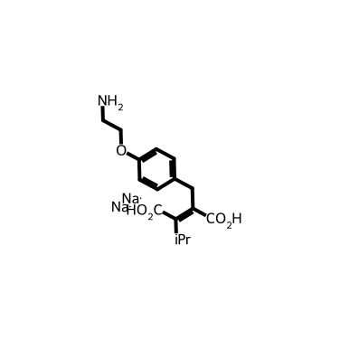 CC(C)C(C(=O)O)=C(Cc1ccc(OCCN)cc1)C(=O)O.[Na].[Na]